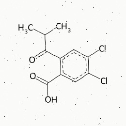 CC(C)C(=O)c1cc(Cl)c(Cl)cc1C(=O)O